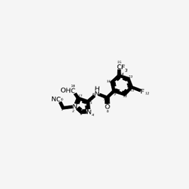 N#CCn1cnc(NC(=O)c2cc(F)cc(C(F)(F)F)c2)c1C=O